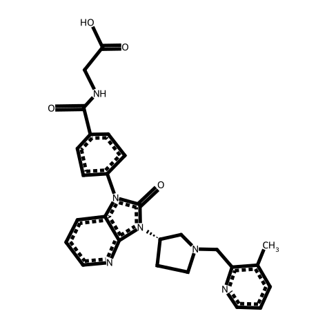 Cc1cccnc1CN1CC[C@H](n2c(=O)n(-c3ccc(C(=O)NCC(=O)O)cc3)c3cccnc32)C1